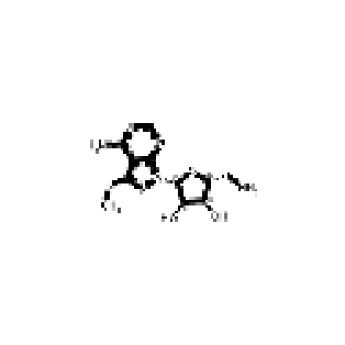 CSc1nn([C@@H]2O[C@H](CN)[C@@H](O)[C@H]2O)c2ncnc(N)c12